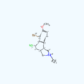 COC1=CC=C2C3CN(C)CC3CCC2C1Br.Cl